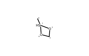 C[SiH]1OCO1